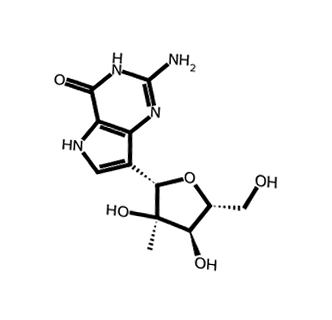 C[C@@]1(O)[C@H](O)[C@@H](CO)O[C@H]1c1c[nH]c2c(=O)[nH]c(N)nc12